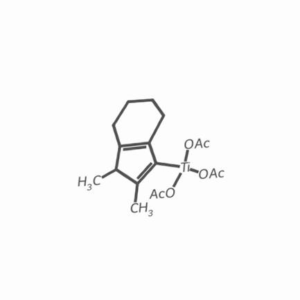 CC(=O)[O][Ti]([O]C(C)=O)([O]C(C)=O)[C]1=C(C)C(C)C2=C1CCCC2